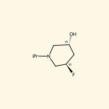 CC(C)N1C[C@H](O)C[C@@H](F)C1